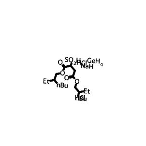 CCCCC(CC)COC(=O)CC(C(=O)OCC(CC)CCCC)S(=O)(=O)O.Cl.Cl.[GeH4].[NaH]